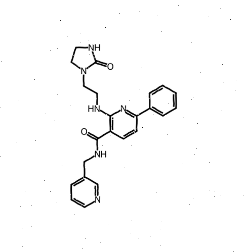 O=C(NCc1cccnc1)c1ccc(-c2ccccc2)nc1NCCN1CCNC1=O